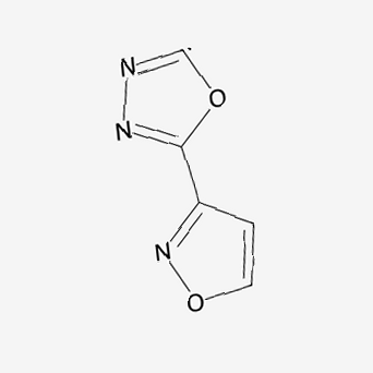 [c]1nnc(-c2ccon2)o1